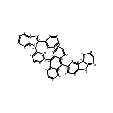 c1ccc(-c2nc3ccccc3n2-c2cccc(-c3c4ccccc4c(-c4ccc5oc6ccccc6c5c4)c4ccccc34)c2)cc1